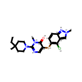 CCC1(C)CCN(c2ncc(Sc3ccc4nn(C)cc4c3Cl)c(=O)n2C)CC1